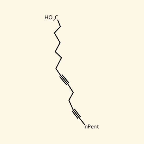 CCCCCC#CCCC#CCCCCCCC(=O)O